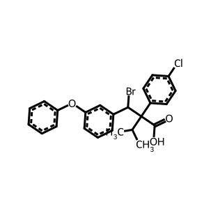 CC(C)C(C(=O)O)(c1ccc(Cl)cc1)C(Br)c1cccc(Oc2ccccc2)c1